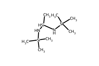 C[SiH](N[Si](C)(C)C)N[Si](C)(C)C